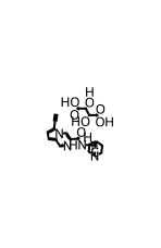 C#Cc1ccc2cnc(C(=O)N[C@H]3CN4CCC3CC4)cn12.O=C(O)C(O)C(O)C(=O)O